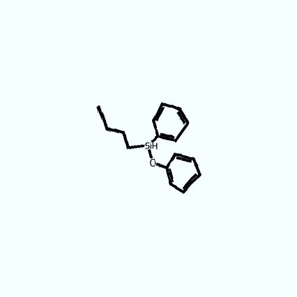 CCCC[SiH](Oc1ccccc1)c1ccccc1